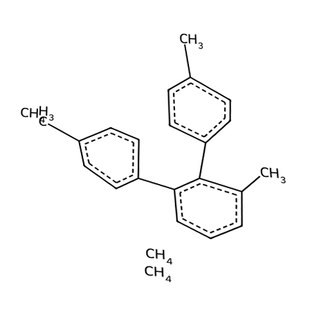 C.C.C.Cc1ccc(-c2cccc(C)c2-c2ccc(C)cc2)cc1